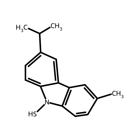 Cc1ccc2c(c1)c1cc(C(C)C)ccc1n2S